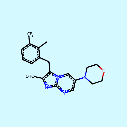 Cc1c(Cc2c(C=O)nc3ncc(N4CCOCC4)cn23)cccc1C(F)(F)F